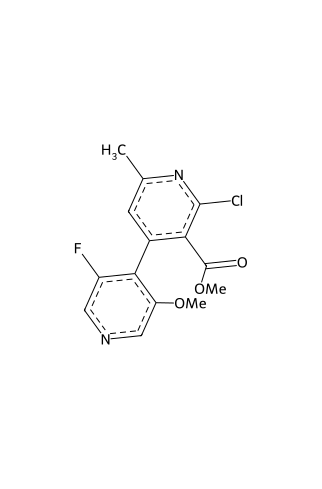 COC(=O)c1c(-c2c(F)cncc2OC)cc(C)nc1Cl